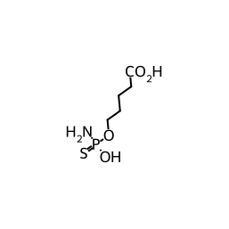 NP(O)(=S)OCCCCC(=O)O